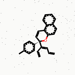 C=C/C=C(\C=C)[C@@]1(c2ccc(C)cc2)C=Cc2c(ccc3ccccc23)O1